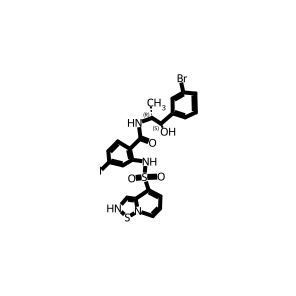 C[C@@H](NC(=O)c1ccc(I)cc1NS(=O)(=O)C1=CC=CN2SNC=C12)[C@@H](O)c1cccc(Br)c1